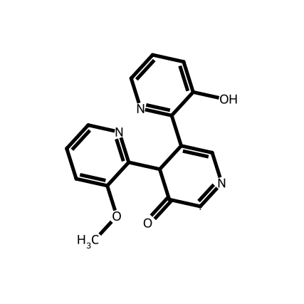 COc1cccnc1C1C(=O)[C]=NC=C1c1ncccc1O